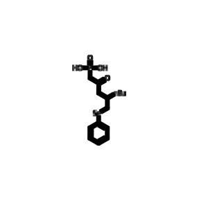 CCCCC(C[Se]c1ccccc1)CC(=O)CP(=O)(O)O